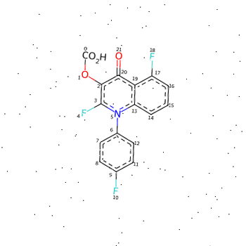 O=C(O)Oc1c(F)n(-c2ccc(F)cc2)c2cccc(F)c2c1=O